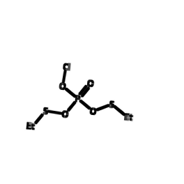 CCSOP(=O)(OCl)OSCC